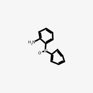 Nc1ccccc1[S+]([O-])c1ccccc1